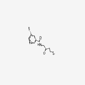 O=C(CC[S])CNC(=O)c1cncc(F)c1